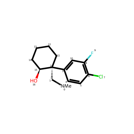 CNC[C@@]1(c2ccc(Cl)c(F)c2)CCCC[C@@H]1O